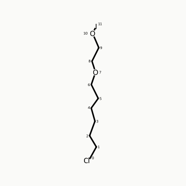 ClCCCCCCOCCOI